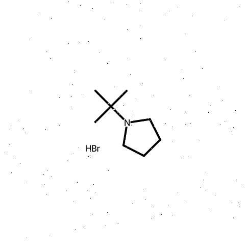 Br.CC(C)(C)N1CCCC1